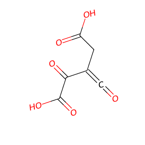 O=C=C(CC(=O)O)C(=O)C(=O)O